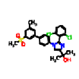 Cc1cc(-c2ccc(-n3cc(C(C)(C)O)nc3-c3c(Cl)cccc3Cl)cc2)cc(S(C)(=O)=O)c1